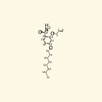 C=CCOc1cc(OCCCCCCCC)ccc1C(N)=O